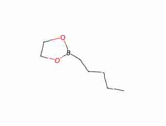 CCCCCB1OCCO1